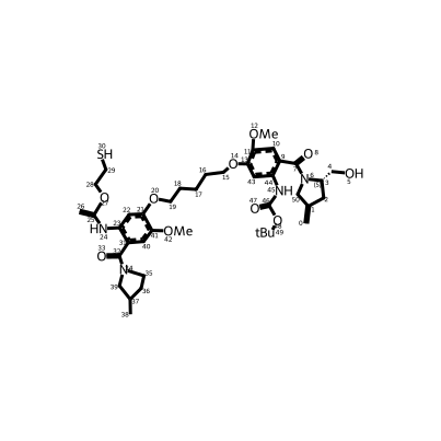 C=C1C[C@@H](CO)N(C(=O)c2cc(OC)c(OCCCCCOc3cc(NC(=C)OCCS)c(C(=O)N4CCC(C)C4)cc3OC)cc2NC(=O)OC(C)(C)C)C1